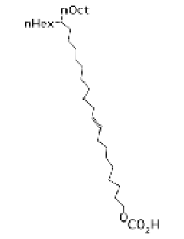 CCCCCCCCC(CCCCCC)CCCCCCCCCC=CCCCCCCCCOC(=O)O